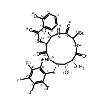 CCC(C)C1NC(=O)[C@H](C)[C@H](O)[C@H](Cc2c(F)c(F)c(F)c(F)c2F)NC(=O)[C@@H](NC(=O)c2ccccc2O)[C@@H](C)NC1=O